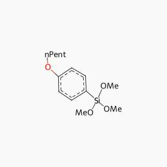 CCCCCOc1ccc([Si](OC)(OC)OC)cc1